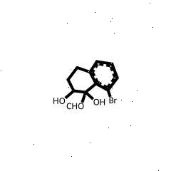 O=CC1(O)c2c(Br)cccc2CCC1O